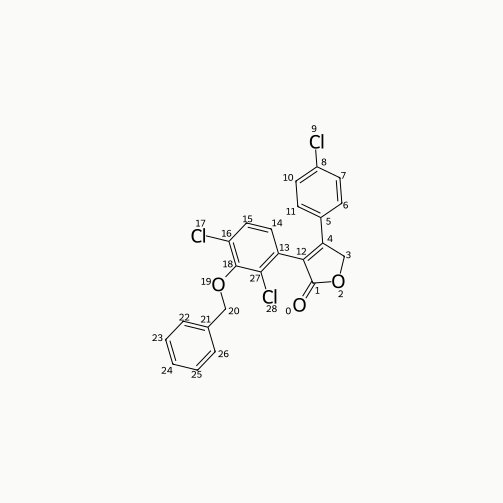 O=C1OCC(c2ccc(Cl)cc2)=C1c1ccc(Cl)c(OCc2ccccc2)c1Cl